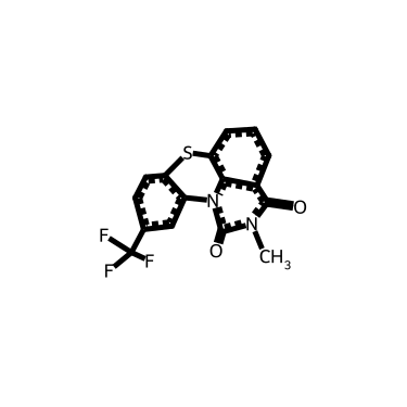 Cn1c(=O)c2cccc3c2n(c1=O)-c1cc(C(F)(F)F)ccc1S3